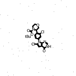 CC(C)(C)OC(=O)N1CCOCC1c1ccc(-n2c(Cl)cc3c(=O)[nH]cnc32)cc1Cl